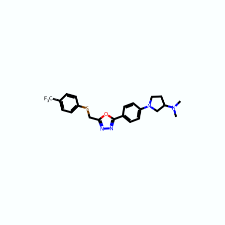 CN(C)C1CCN(c2ccc(-c3nnc(CSc4ccc(C(F)(F)F)cc4)o3)cc2)C1